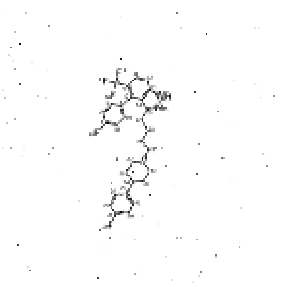 Fc1ccc(-c2c(C(F)(F)F)ccc3[nH]nc(CCCCN4CCC(c5ccc(F)cc5)CC4)c23)cc1